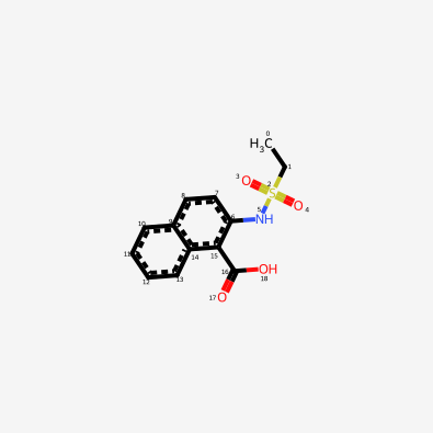 CCS(=O)(=O)Nc1ccc2ccccc2c1C(=O)O